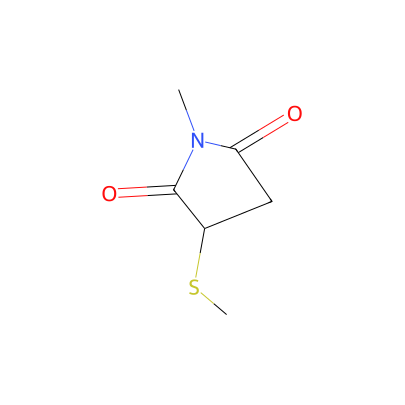 CSC1CC(=O)N(C)C1=O